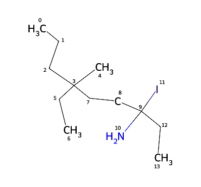 CCCC(C)(CC)CCC(N)(I)CC